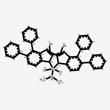 CC(C)CC1=Cc2c(ccc(-c3ccccc3)c2-c2ccccc2)[CH]1[Zr]([Cl])([Cl])([CH]1C(CC(C)C)=Cc2c1ccc(-c1ccccc1)c2-c1ccccc1)[SiH](C)C